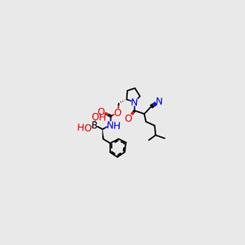 CC(C)CCC(C#N)C(=O)N1CCC[C@H]1COC(=O)N[C@@H](Cc1ccccc1)B(O)O